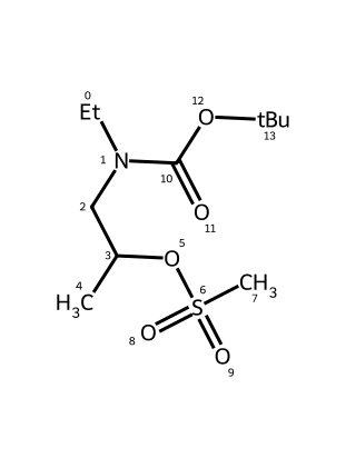 CCN(CC(C)OS(C)(=O)=O)C(=O)OC(C)(C)C